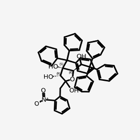 O=[N+]([O-])c1ccccc1CC1(O)O[C@H](C(O)C(c2ccccc2)(c2ccccc2)c2ccccc2)[C@](O)(C(c2ccccc2)(c2ccccc2)c2ccccc2)[C@H]1O